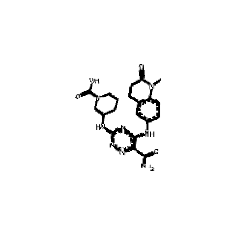 CN1C(=O)CCc2cc(Nc3nc(NC4CCCN(C(=O)O)C4)nnc3C(N)=O)ccc21